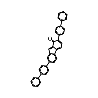 O=C1C2=Cc3cc(-c4ccc(-c5ccccc5)cc4)ccc3C2=CC=C1c1ccc(-c2ccccc2)cc1